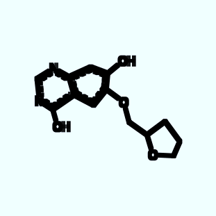 Oc1cc2ncnc(O)c2cc1OCC1CCCO1